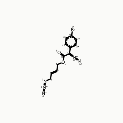 [N-]=[N+]=NC/C=C/COC(=O)C(=[N+]=[N-])c1ccc(Br)cc1